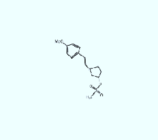 COc1ccc(CCN2CC[C@H](OS(C)(=O)=O)C2)cc1